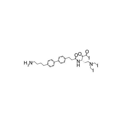 NCCCCc1ccc(-c2ccc(CCC(=O)N[C@@H](CCN(CI)CI)C(=O)C(=O)I)cc2)cc1